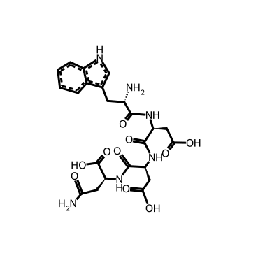 NC(=O)C[C@H](NC(=O)[C@H](CC(=O)O)NC(=O)[C@H](CC(=O)O)NC(=O)[C@@H](N)Cc1c[nH]c2ccccc12)C(=O)O